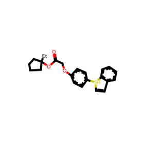 CCC1(OC(=O)COc2ccc([SH]3C=Cc4ccccc43)cc2)CCCC1